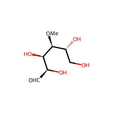 CO[C@H]([C@H](O)[C@@H](O)C=O)[C@H](O)CO